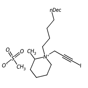 CCCCCCCCCCCCCC[N+]1(CC#CI)CCCCC1C.CS(=O)(=O)[O-]